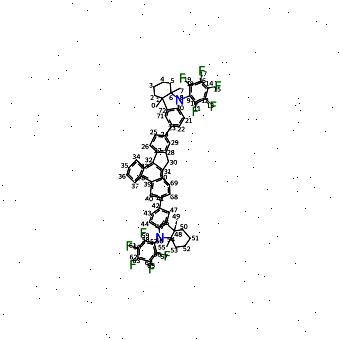 CC12CCCCC1(C)N(c1c(F)c(F)c(F)c(F)c1F)c1ccc(-c3ccc4c(c3)Cc3c-4c4ccccc4c4cc(-c5ccc6c(c5)C5(C)CCCCC5(C)N6c5c(F)c(F)c(F)c(F)c5F)ccc34)cc12